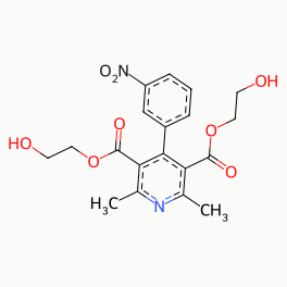 Cc1nc(C)c(C(=O)OCCO)c(-c2cccc([N+](=O)[O-])c2)c1C(=O)OCCO